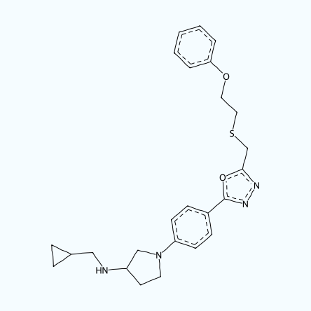 c1ccc(OCCSCc2nnc(-c3ccc(N4CCC(NCC5CC5)C4)cc3)o2)cc1